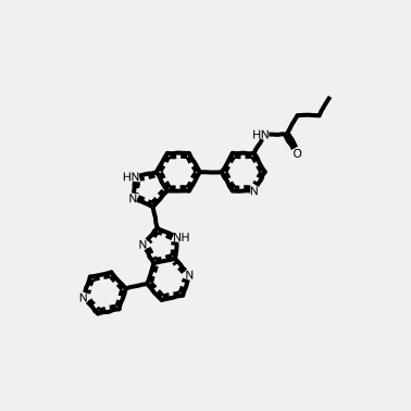 CCCC(=O)Nc1cncc(-c2ccc3[nH]nc(-c4nc5c(-c6ccncc6)ccnc5[nH]4)c3c2)c1